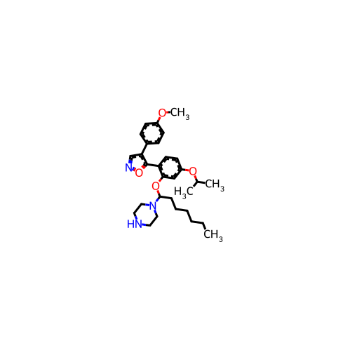 CCCCCCC(Oc1cc(OC(C)C)ccc1-c1oncc1-c1ccc(OC)cc1)N1CCNCC1